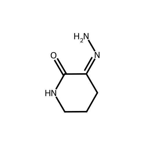 N/N=C1/CCCNC1=O